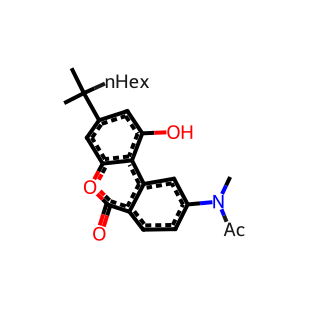 CCCCCCC(C)(C)c1cc(O)c2c(c1)oc(=O)c1ccc(N(C)C(C)=O)cc12